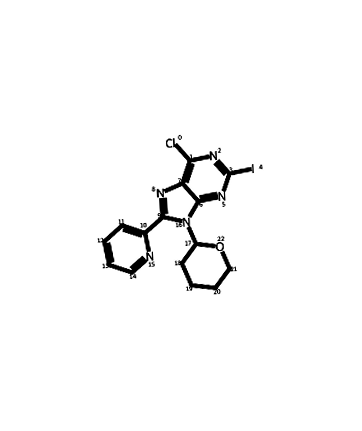 Clc1nc(I)nc2c1nc(-c1ccccn1)n2C1CCCCO1